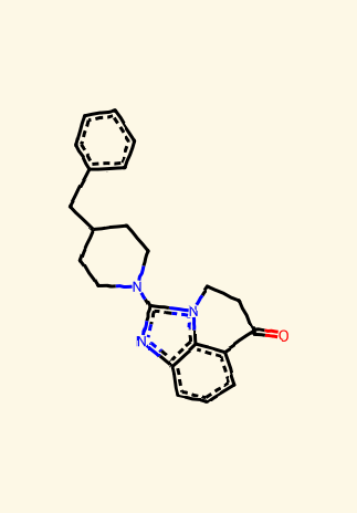 O=C1CCn2c(N3CCC(Cc4ccccc4)CC3)nc3cccc1c32